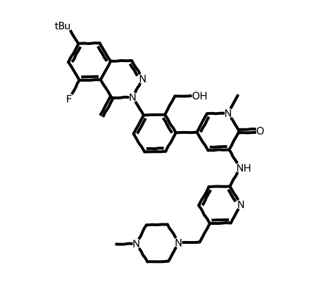 C=C1c2c(F)cc(C(C)(C)C)cc2C=NN1c1cccc(-c2cc(Nc3ccc(CN4CCN(C)CC4)cn3)c(=O)n(C)c2)c1CO